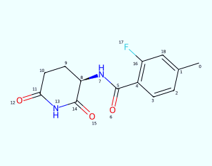 Cc1ccc(C(=O)N[C@@H]2CCC(=O)NC2=O)c(F)c1